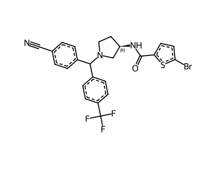 N#Cc1ccc(C(c2ccc(C(F)(F)F)cc2)N2CC[C@@H](NC(=O)c3ccc(Br)s3)C2)cc1